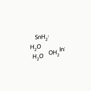 O.O.O.[In].[SnH2]